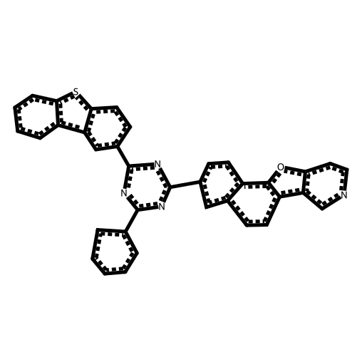 c1ccc(-c2nc(-c3ccc4c(ccc5c6cnccc6oc45)c3)nc(-c3ccc4sc5ccccc5c4c3)n2)cc1